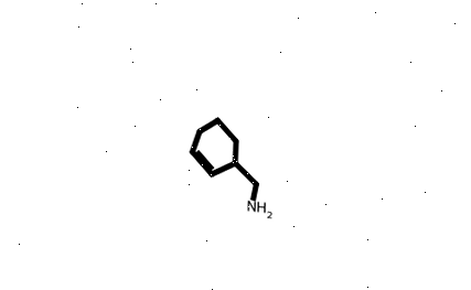 NCC1C=CCCC1